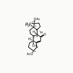 CC(=O)O[C@H]1CC[C@@]2(C)C(=CC(=O)[C@@H]3[C@@H]2CC[C@@]2(C)[C@H]3CC[C@]2(C)OC(C)=O)C1